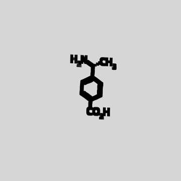 C[C@@H](N)c1ccc(C(=O)O)cc1